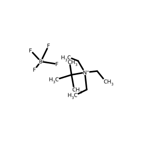 CC[N+](CC)(CC)C(C)(C)C.F[B-](F)(F)F